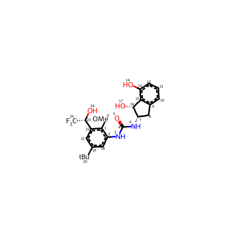 COc1c(NC(=O)N[C@H]2Cc3cccc(O)c3[C@H]2O)cc(C(C)(C)C)cc1[C@@H](O)C(F)(F)F